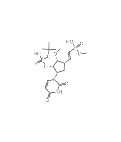 CO[C@H]1[C@@H](OP(O)(=S)OC(C)(C)C)[C@H](n2ccc(=O)[nH]c2=O)C[C@@H]1/C=C/P(=O)(O)OC